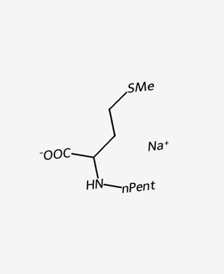 CCCCCNC(CCSC)C(=O)[O-].[Na+]